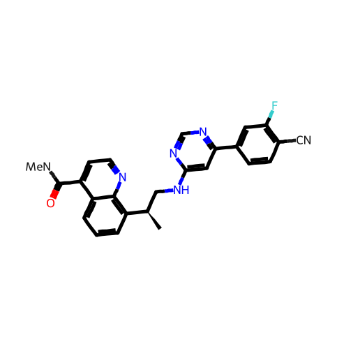 CNC(=O)c1ccnc2c([C@H](C)CNc3cc(-c4ccc(C#N)c(F)c4)ncn3)cccc12